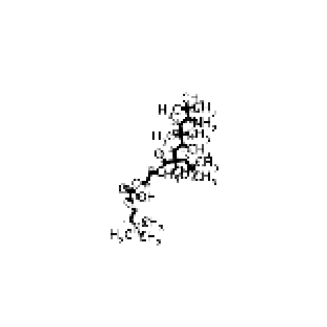 CC(CC(C)(CC(C)(C)C)C(=O)OCCOP(=O)(O)OCC[N+](C)(C)C)C(C)(C)CC(N)C(C)(C)C